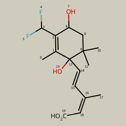 CC1=C(C(F)F)C(O)CC(C)(C)C1(O)/C=C/C(C)=C\C(=O)O